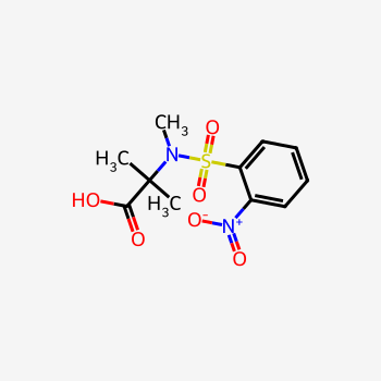 CN(C(C)(C)C(=O)O)S(=O)(=O)c1ccccc1[N+](=O)[O-]